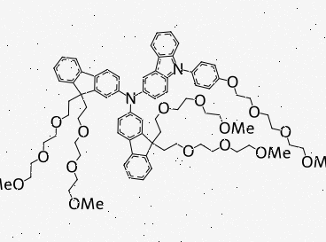 COCCOCCOCCOc1ccc(-n2c3ccccc3c3cc(N(c4ccc5c(c4)C(CCOCCOCCOC)(CCOCCOCCOC)c4ccccc4-5)c4ccc5c(c4)C(CCOCCOCCOC)(CCOCCOCCOC)c4ccccc4-5)ccc32)cc1